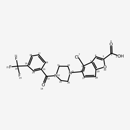 O=C(O)c1cc2c(Cl)c(N3CCN(C(=O)c4cccc(C(F)(F)F)c4)CC3)ccc2o1